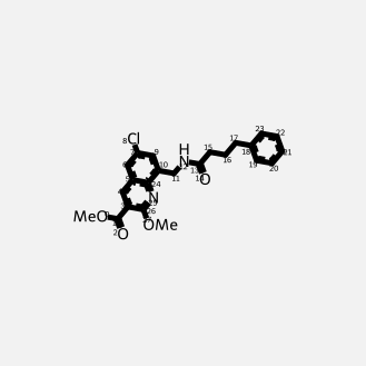 COC(=O)c1cc2cc(Cl)cc(CNC(=O)CCCc3ccccc3)c2nc1OC